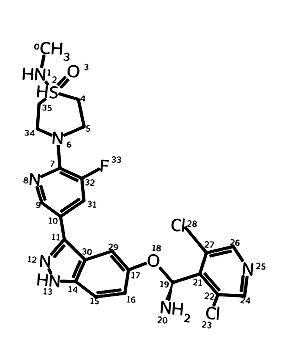 CN[SH]1(=O)CCN(c2ncc(-c3n[nH]c4ccc(O[C@H](N)c5c(Cl)cncc5Cl)cc34)cc2F)CC1